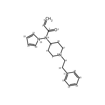 C=CC(=O)N(C1CCN(CCc2ccccc2)CC1)n1cccc1